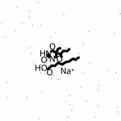 CCCC(C)C1(CC)C(=O)N=C([O-])NC1=O.CCCCCCCCCC(=O)O.[Na+]